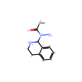 COC(=O)N(N)C1NCCc2ccccc21